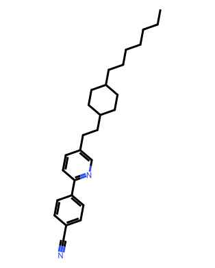 CCCCCCCC1CCC(CCc2ccc(-c3ccc(C#N)cc3)nc2)CC1